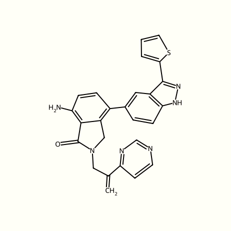 C=C(CN1Cc2c(-c3ccc4[nH]nc(-c5cccs5)c4c3)ccc(N)c2C1=O)c1ccncn1